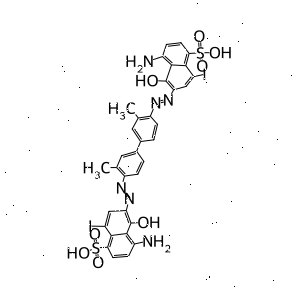 Cc1cc(-c2ccc(N=Nc3cc(I)c4c(S(=O)(=O)O)ccc(N)c4c3O)c(C)c2)ccc1N=Nc1cc(I)c2c(S(=O)(=O)O)ccc(N)c2c1O